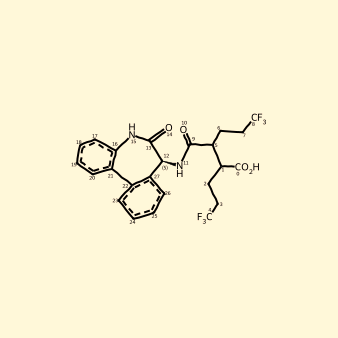 O=C(O)C(CCC(F)(F)F)C(CCC(F)(F)F)C(=O)N[C@@H]1C(=O)Nc2ccccc2-c2ccccc21